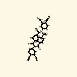 C#Cc1ccc(C2C(=O)c3ccc4c5c(ccc(c35)C2=O)C(=O)N(c2ccc(C#N)c(C#N)c2)C4=O)cc1C#N